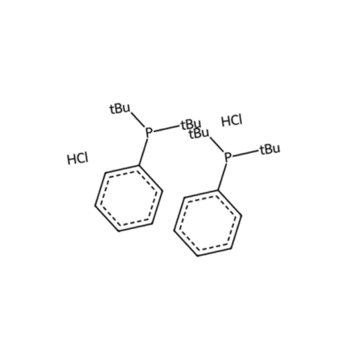 CC(C)(C)P(c1ccccc1)C(C)(C)C.CC(C)(C)P(c1ccccc1)C(C)(C)C.Cl.Cl